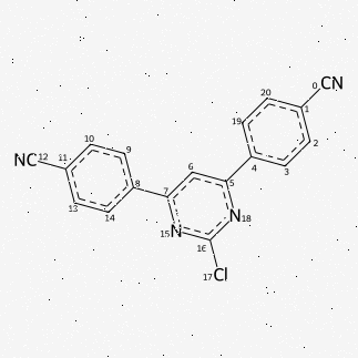 N#Cc1ccc(-c2cc(-c3ccc(C#N)cc3)nc(Cl)n2)cc1